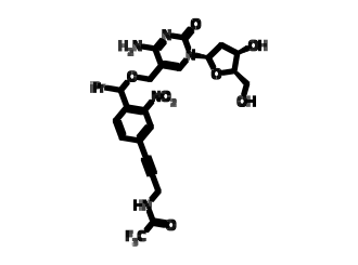 CC(C)C(OCc1cn([C@H]2C[C@@H](O)[C@@H](CO)O2)c(=O)nc1N)c1ccc(C#CCNC(=O)C(F)(F)F)cc1[N+](=O)[O-]